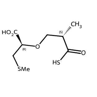 CSC[C@H](OC[C@H](C)C(=O)S)C(=O)O